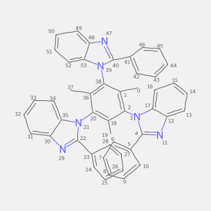 Cc1c(-n2c(-c3ccccc3)nc3ccccc32)c(C)c(-n2c(-c3ccccc3)nc3ccccc32)c(C)c1-n1c(-c2ccccc2)nc2ccccc21